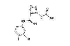 Cc1ccc(NC(=N)c2nonc2NC(N)=O)cc1Br